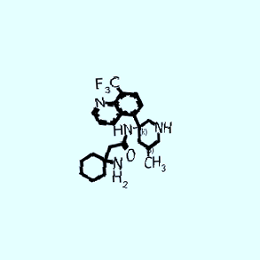 C[C@@H]1CNC[C@](NC(=O)CC2(N)CCCCC2)(c2ccc(C(F)(F)F)c3ncccc23)C1